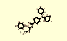 C=Nc1nc(-c2ccc(N(c3ccccc3)c3ccccc3)cc2)nn1-c1ccccc1